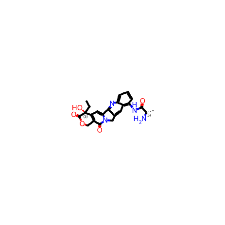 CC[C@@]1(O)C(=O)OCc2c1cc1n(c2=O)Cc2cc3c(NC(=O)[C@H](C)N)cccc3nc2-1